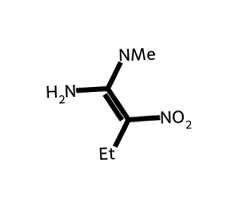 CCC(=C(N)NC)[N+](=O)[O-]